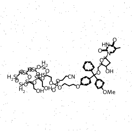 COc1ccc(C(OC[C@H]2O[C@@H](n3cc(C)c(=O)[nH]c3=O)CC2O)(c2ccccc2)c2ccc(OCCCOP(=O)(OCCC#N)OC[SiH]3O[SiH2]O[SiH]4O[SiH]5O[SiH2]O[SiH2]O[Si](CCO)(O5)O[Si](CCO)(O3)O4)cc2)cc1